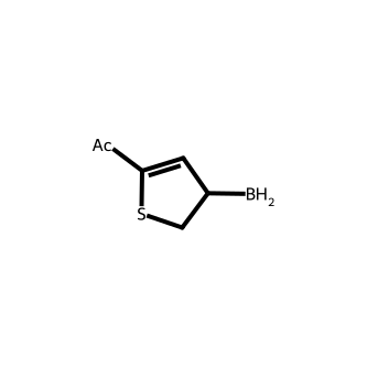 BC1C=C(C(C)=O)SC1